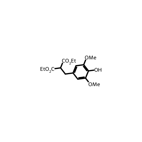 CCOC(=O)C(Cc1cc(OC)c(O)c(OC)c1)C(=O)OCC